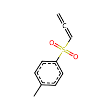 C=C=CS(=O)(=O)c1ccc(C)cc1